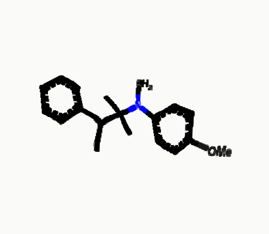 BN(c1ccc(OC)cc1)C(C)(C)C(C)c1ccccc1